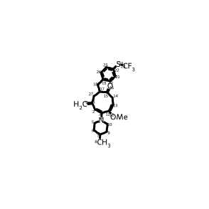 C=C1/C=C(N2CCC(C)CC2)\C(OC)=C/CC(=O)C(Cc2ccc(SC(F)(F)F)cc2)C1